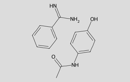 CC(=O)Nc1ccc(O)cc1.N=C(N)c1ccccc1